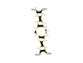 CSC1=C(SC)SC(=C2SC3=C(SCSC4=C(SCS3)SC(=C3SC(SC)=C(SC)S3)S4)S2)S1